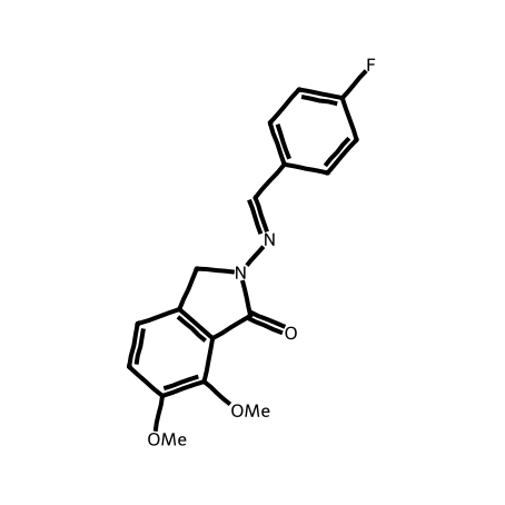 COc1ccc2c(c1OC)C(=O)N(N=Cc1ccc(F)cc1)C2